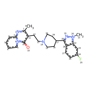 Cc1nc2ccccn2c(=O)c1CCN1CCC(c2nn(C)c3cc(F)ccc23)CC1